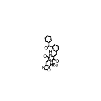 CC(C)(C)c1ocnc1C=c1[nH]c(=O)c(=Cc2cccc(C(=O)c3ccccc3)c2)[nH]c1=O